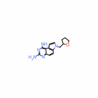 Nc1nc(N)c2c(ccc3c2ccn3CC2CCCO2)n1